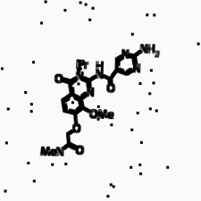 CNC(=O)COc1ccc2c(=O)n(C(C)C)c(NC(=O)c3cnc(N)nc3)nc2c1OC